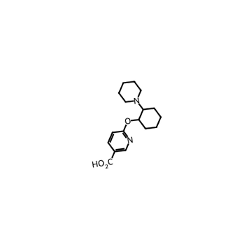 O=C(O)c1ccc(OC2CCCCC2N2CCCCC2)nc1